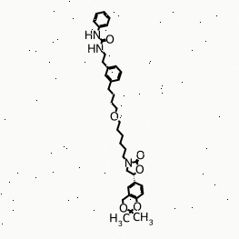 CC1(C)OCc2cc([C@@H]3CN(CCCCCCOCCCCc4cccc(CCNC(=O)Nc5ccccc5)c4)C(=O)O3)ccc2O1